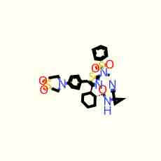 CN(c1nc([C@@H]2CCCC[C@H]2C(=O)NC2(C#N)CC2)c(-c2ccc(N3CCS(=O)(=O)CC3)cc2)s1)S(=O)(=O)c1ccccc1